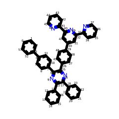 c1ccc(-c2ccc(-c3nc(-c4ccccc4)c(-c4ccccc4)nc3-c3ccc(-c4cc(-c5ccccn5)nc(-c5ccccn5)c4)cc3)cc2)cc1